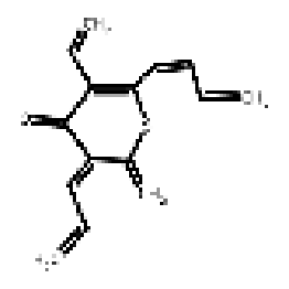 C=C/C=C\c1sc(=C)/c(=C\C=C)c(=O)c1C=C